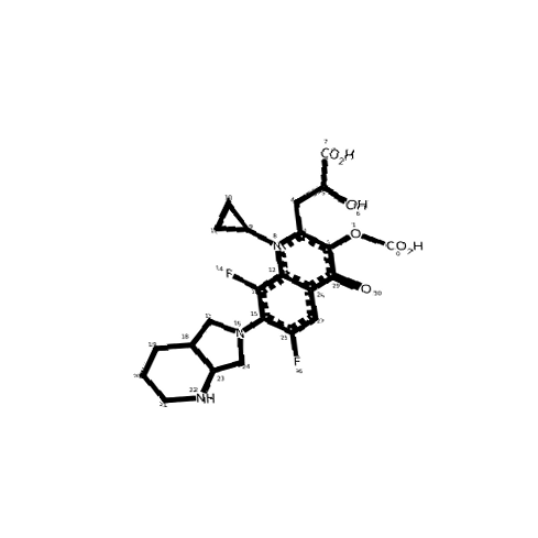 O=C(O)Oc1c(CC(O)C(=O)O)n(C2CC2)c2c(F)c(N3CC4CCCNC4C3)c(F)cc2c1=O